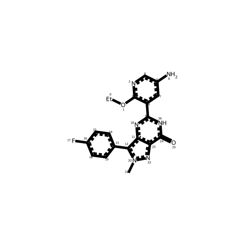 CCOc1ncc(N)cc1-c1nc2c(-c3ccc(F)cc3)n(C)nc2c(=O)[nH]1